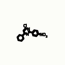 O=[N+]([O-])c1ccc(-c2nc(Cl)cc(C3CCCCC3)n2)cc1